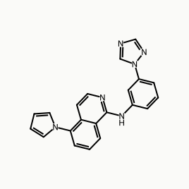 c1cc(Nc2nccc3c(-n4cccc4)cccc23)cc(-n2cncn2)c1